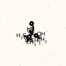 COc1ccc([C@H]2[C@@H](CNCc3ccccc3)C(=O)N2c2cc(OC)c(OC)c(OC)c2)cc1O